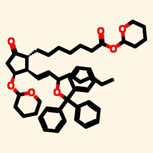 CCCCCC(C=C[C@H]1[C@@H](OC2CCCCO2)CC(=O)[C@@H]1CCCCCCC(=O)OC1CCCCO1)OC(c1ccccc1)(c1ccccc1)c1ccccc1